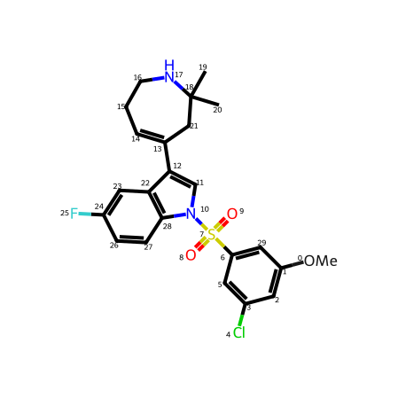 COc1cc(Cl)cc(S(=O)(=O)n2cc(C3=CCCNC(C)(C)C3)c3cc(F)ccc32)c1